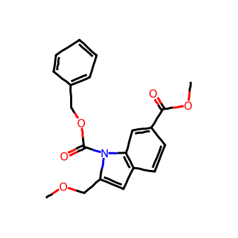 COCc1cc2ccc(C(=O)OC)cc2n1C(=O)OCc1ccccc1